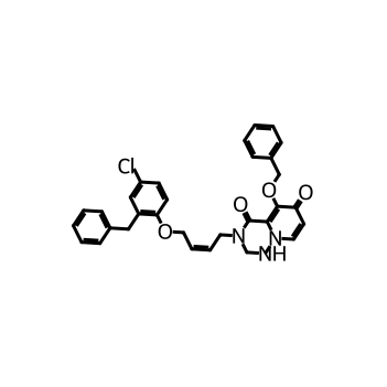 O=C1c2c(OCc3ccccc3)c(=O)ccn2NCN1C/C=C\COc1ccc(Cl)cc1Cc1ccccc1